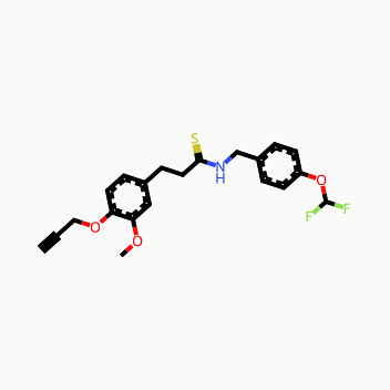 C#CCOc1ccc(CCC(=S)NCc2ccc(OC(F)F)cc2)cc1OC